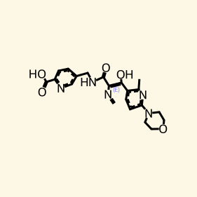 C=N/C(C(=O)NCc1ccc(C(=O)O)nc1)=C(/O)c1ccc(N2CCOCC2)nc1C